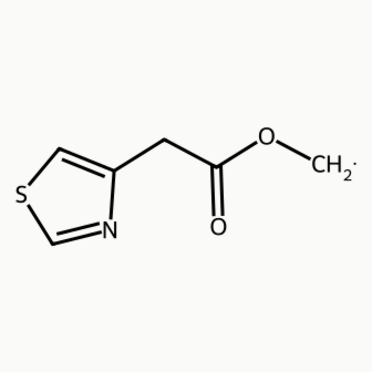 [CH2]OC(=O)Cc1cscn1